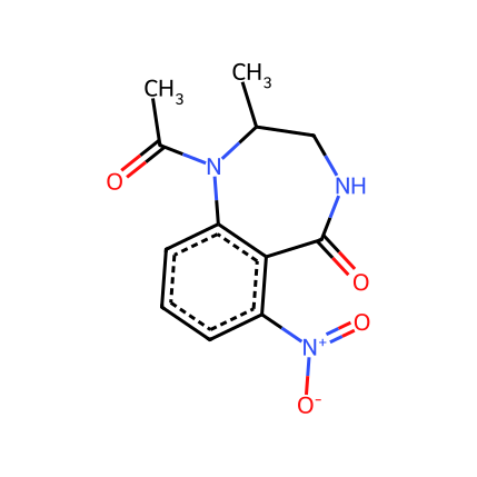 CC(=O)N1c2cccc([N+](=O)[O-])c2C(=O)NCC1C